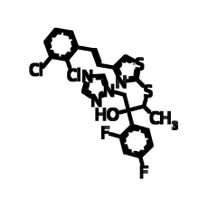 CC(Sc1nc(/C=C/c2cccc(Cl)c2Cl)cs1)C(O)(Cn1cncn1)c1ccc(F)cc1F